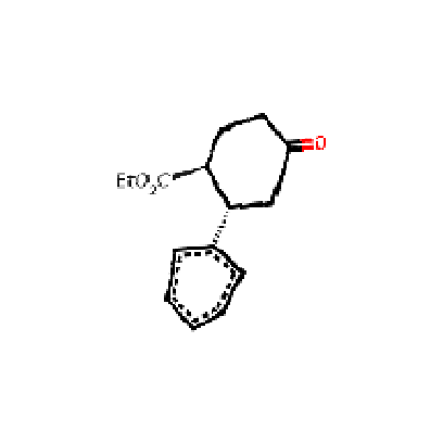 CCOC(=O)[C@H]1CCC(=O)C[C@@H]1c1ccccc1